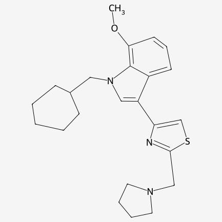 COc1cccc2c(-c3csc(CN4CCCC4)n3)cn(CC3CCCCC3)c12